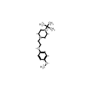 COc1ccc(OCCN2CCN(C(C)(C)C)CC2)cc1